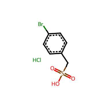 Cl.O=S(=O)(O)Cc1ccc(Br)cc1